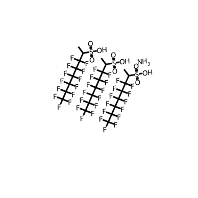 CC(C(F)(F)C(F)(F)C(F)(F)C(F)(F)C(F)(F)C(F)(F)F)S(=O)(=O)O.CC(C(F)(F)C(F)(F)C(F)(F)C(F)(F)C(F)(F)C(F)(F)F)S(=O)(=O)O.CC(C(F)(F)C(F)(F)C(F)(F)C(F)(F)C(F)(F)C(F)(F)F)S(=O)(=O)O.N